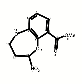 COC(=O)c1cccc2c1OC([N+](=O)[O-])CCO2